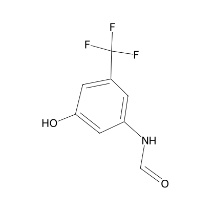 O=CNc1cc(O)cc(C(F)(F)F)c1